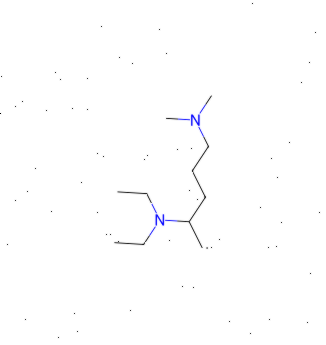 [CH2]C(CCCN(C)C)N(CC)CC